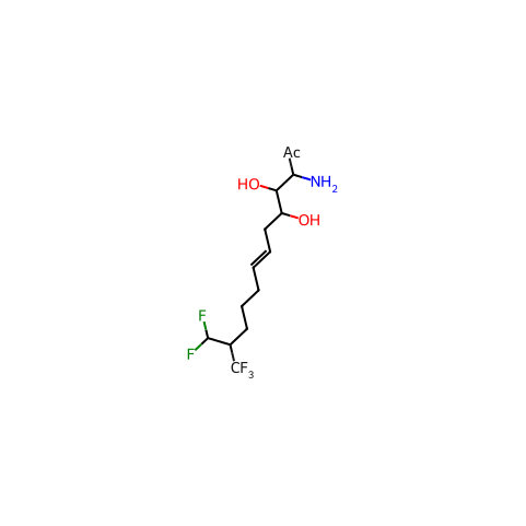 CC(=O)C(N)C(O)C(O)C/C=C/CCCC(C(F)F)C(F)(F)F